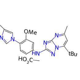 CC(=O)O.COc1cc(Nc2nc3nc(C)cc(C(C)(C)C)n3n2)ccc1-n1cnc(C)c1